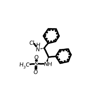 CS(=O)(=O)N[C@H](c1ccccc1)[C@H](NCl)c1ccccc1